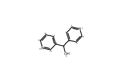 OC(c1ccncc1)c1cccnc1